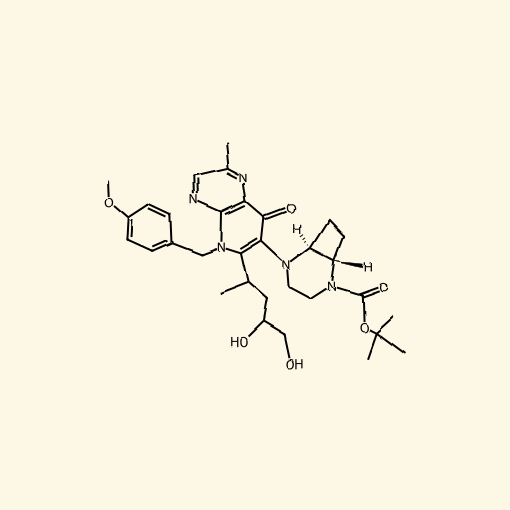 COc1ccc(Cn2c(C(C)CC(O)CO)c(N3CCN(C(=O)OC(C)(C)C)[C@H]4CC[C@@H]43)c(=O)c3nc(C)cnc32)cc1